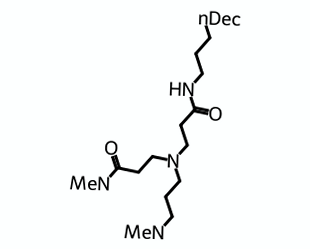 CCCCCCCCCCCCCNC(=O)CCN(CCCNC)CCC(=O)NC